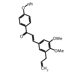 C=CCc1cc(C=CC(=O)c2ccc(OCCC)cc2)cc(OC)c1OC